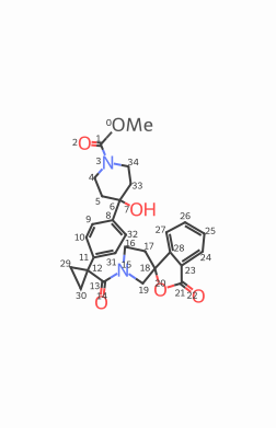 COC(=O)N1CCC(O)(c2ccc(C3(C(=O)N4CCC5(C4)OC(=O)c4ccccc45)CC3)cc2)CC1